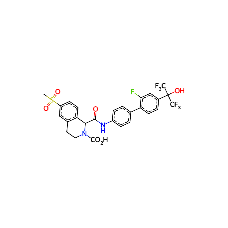 CS(=O)(=O)c1ccc2c(c1)CCN(C(=O)O)C2C(=O)Nc1ccc(-c2ccc(C(O)(C(F)(F)F)C(F)(F)F)cc2F)cc1